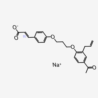 C=CCc1cc(C(C)=O)ccc1OCCCOc1ccc(/C=C/C(=O)[O-])cc1.[Na+]